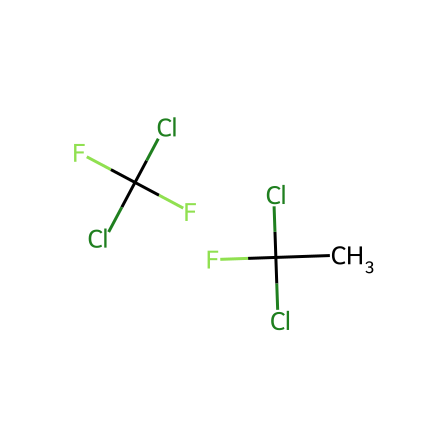 CC(F)(Cl)Cl.FC(F)(Cl)Cl